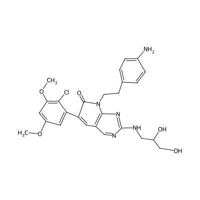 COc1cc(OC)c(Cl)c(-c2cc3cnc(NCC(O)CO)nc3n(CCc3ccc(N)cc3)c2=O)c1